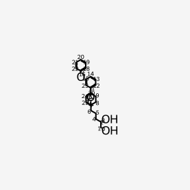 OCC(O)CCCC12CCC(c3cccc(Oc4ccccc4)c3)(CC1)OC2